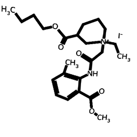 CCCCOC(=O)C1CCC[N+](CC)(CC(=O)Nc2c(C)cccc2C(=O)OC)C1.[I-]